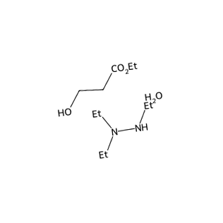 CCNN(CC)CC.CCOC(=O)CCO.O